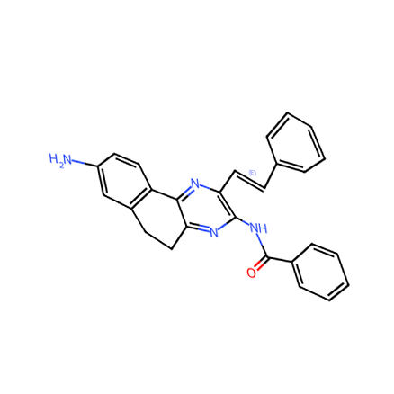 Nc1ccc2c(c1)CCc1nc(NC(=O)c3ccccc3)c(/C=C/c3ccccc3)nc1-2